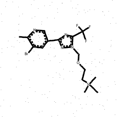 Cc1ncc(-c2nc(C(F)(F)F)n(COCC[Si](C)(C)C)n2)cc1Br